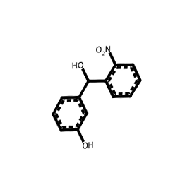 O=[N+]([O-])c1ccccc1C(O)c1cccc(O)c1